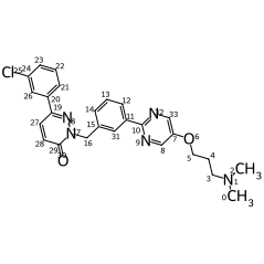 CN(C)CCCOc1cnc(-c2cccc(Cn3nc(-c4cccc(Cl)c4)ccc3=O)c2)nc1